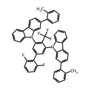 Cc1ccccc1-c1ccc2c3ccccc3n(-c3cc(-c4c(F)cccc4F)cc(-n4c5ccccc5c5ccc(-c6ccccc6C)cc54)c3C(F)(F)F)c2c1